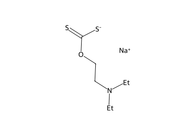 CCN(CC)CCOC(=S)[S-].[Na+]